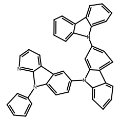 c1ccc(-n2c3ccc(-n4c5ccccc5c5ccc(-n6c7ccccc7c7ccccc76)cc54)cc3c3cccnc32)cc1